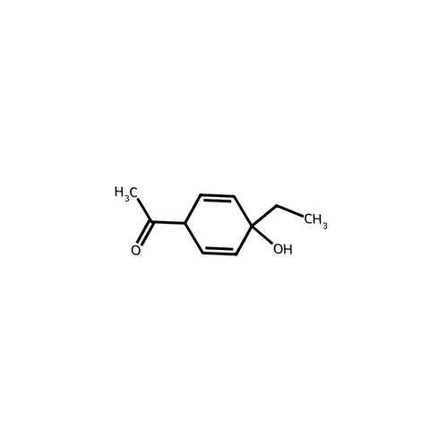 CCC1(O)C=CC(C(C)=O)C=C1